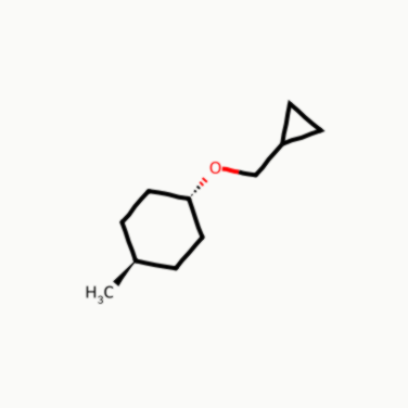 C[C@H]1CC[C@H](OCC2CC2)CC1